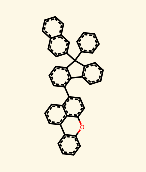 c1ccc(C2(c3ccc4ccccc4c3)c3ccccc3-c3c(-c4ccc5c6c(cccc46)-c4ccccc4O5)cccc32)cc1